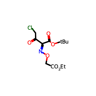 CCOC(=O)CON=C(C(=O)CCl)C(=O)OC(C)(C)C